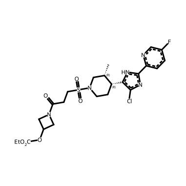 CCOC(=O)OC1CN(C(=O)CCS(=O)(=O)N2CC[C@@H](c3[nH]c(-c4ccc(F)cn4)nc3Cl)[C@@H](C)C2)C1